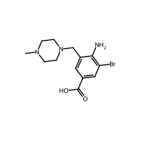 CN1CCN(Cc2cc(C(=O)O)cc(Br)c2N)CC1